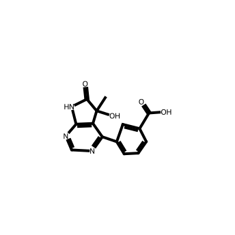 CC1(O)C(=O)Nc2ncnc(-c3cccc(C(=O)O)c3)c21